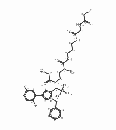 CC(C)(C)[C@H](c1cc(-c2cc(F)ccc2F)cn1Cc1ccccc1)N(CC[C@H](N)C(=O)NCCCNC(=O)CNC(=O)CBr)C(=O)CO